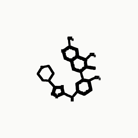 Cc1cc2c(cn1)cc(-c1cc(Nc3noc(C4CCOCC4)n3)ccc1C)c(=O)n2C